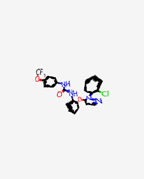 O=C(Nc1ccc(OC(F)(F)F)cc1)Nc1ccccc1Oc1ccnn1-c1ccccc1Cl